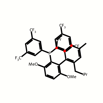 COc1ccc(OC)c(P(c2cc(C(F)(F)F)cc(C(F)(F)F)c2)c2cc(C(F)(F)F)cc(C(F)(F)F)c2)c1-c1c(CC(C)C)cc(C)cc1CC(C)C